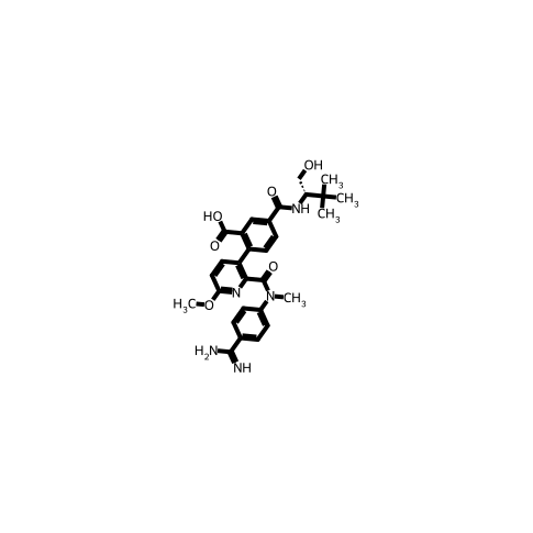 COc1ccc(-c2ccc(C(=O)N[C@H](CO)C(C)(C)C)cc2C(=O)O)c(C(=O)N(C)c2ccc(C(=N)N)cc2)n1